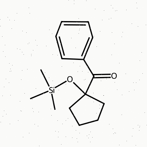 C[Si](C)(C)OC1(C(=O)c2ccccc2)CCCC1